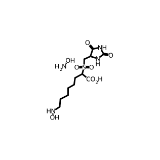 NO.O=C1NC(=O)C(CS(=O)(=O)C(CCCCCCNO)C(=O)O)N1